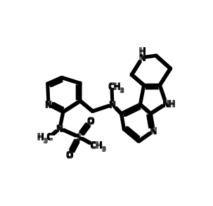 CN(Cc1cccnc1N(C)S(C)(=O)=O)c1ccnc2[nH]c3c(c12)CNCC3